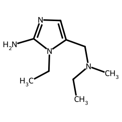 CCN(C)Cc1cnc(N)n1CC